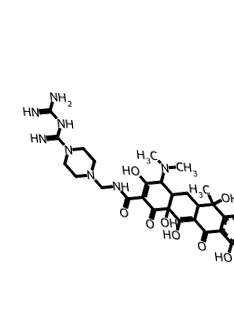 CN(C)C1C(O)=C(C(=O)NCN2CCN(C(=N)NC(=N)N)CC2)C(=O)C2(O)C(O)=C3C(=O)c4c(O)cccc4C(C)(O)C3CC12